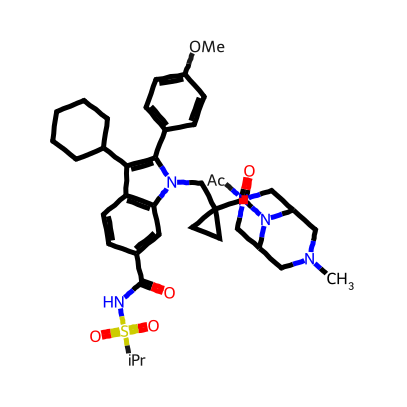 COc1ccc(-c2c(C3CCCCC3)c3ccc(C(=O)NS(=O)(=O)C(C)C)cc3n2CC2(C(=O)N3C4CN(C)CC3CN(C(C)=O)C4)CC2)cc1